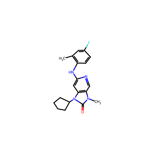 Cc1cc(F)ccc1Nc1cc2c(cn1)n(C)c(=O)n2C1CCCC1